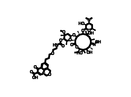 CC[C@H]1OC(=O)[C@H](C)[C@@H](O[C@H]2C[C@@](C)(OC)[C@@H](OC(=O)NCCOCCCc3cc4c5c(c3)c(=O)c(C(=O)O)cn5COC4)[C@H](C)O2)[C@H](C)[C@@H](OC2O[C@H](C)C[C@H](N(C)C)[C@H]2O)[C@](C)(O)C[C@@H](C)/C(=N\O)[C@H](C)[C@@H](O)[C@]1(C)O